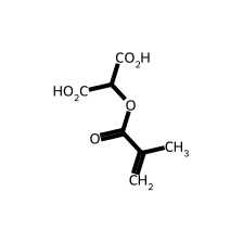 C=C(C)C(=O)OC(C(=O)O)C(=O)O